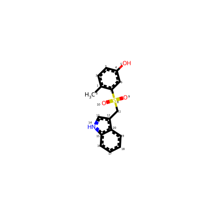 Cc1ccc(O)cc1S(=O)(=O)Cc1c[nH]c2ccccc12